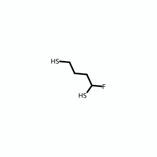 FC(S)CCCS